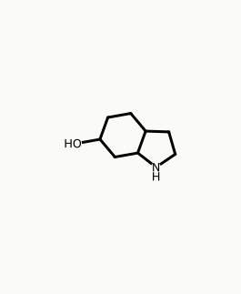 OC1CCC2CCNC2C1